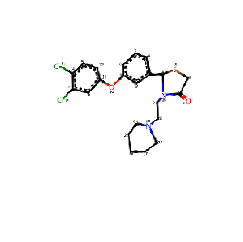 O=C1CSC(c2cccc(Oc3ccc(Cl)c(Cl)c3)c2)N1CCN1CCCCC1